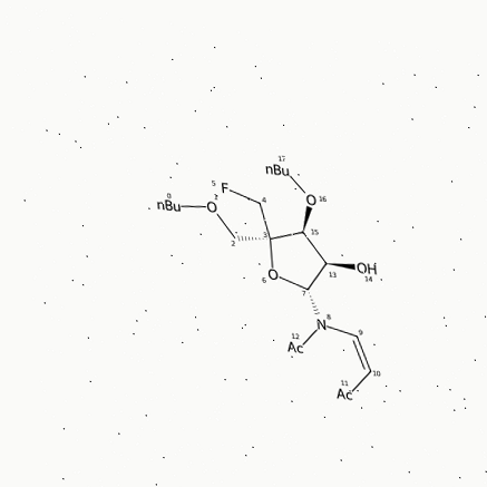 CCCCOC[C@@]1(CF)O[C@@H](N(/C=C\C(C)=O)C(C)=O)[C@H](O)[C@@H]1OCCCC